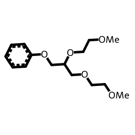 COCCOCC(COc1ccccc1)OCCOC